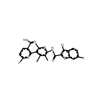 Cc1nc(NC(=O)c2sc3cc(F)ccc3c2Cl)c(C)c(C)c1-c1nc(F)ccc1C(=O)O